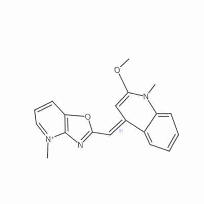 COC1=C/C(=C\c2nc3c(ccc[n+]3C)o2)c2ccccc2N1C